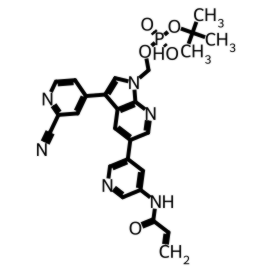 C=CC(=O)Nc1cncc(-c2cnc3c(c2)c(-c2ccnc(C#N)c2)cn3COP(=O)(O)OC(C)(C)C)c1